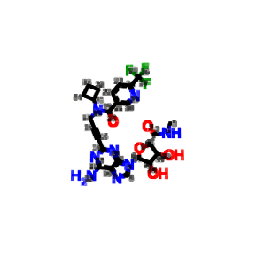 CNC(=O)[C@H]1O[C@@H](n2cnc3c(N)nc(C#CCN(C(=O)c4ccc(C(F)(F)F)nc4)C4CCC4)nc32)[C@H](O)C1O